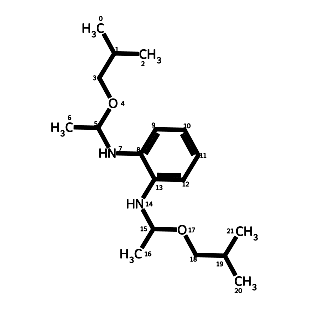 CC(C)COC(C)Nc1ccccc1NC(C)OCC(C)C